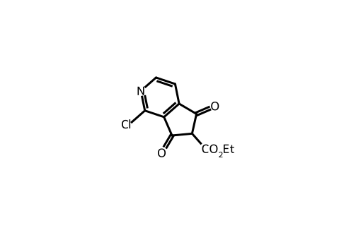 CCOC(=O)C1C(=O)c2ccnc(Cl)c2C1=O